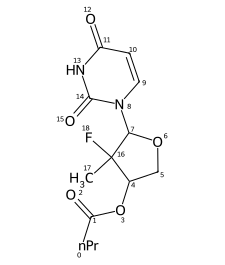 CCCC(=O)OC1COC(n2ccc(=O)[nH]c2=O)C1(C)F